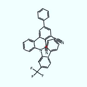 N#Cc1cc(-c2ccccc2)cc(-c2ccccc2-n2c3ccccc3c3ccc(C(F)(F)F)cc32)c1C#N